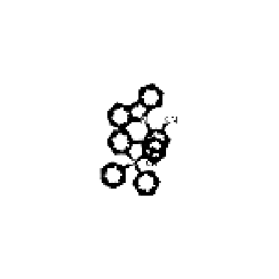 N#Cc1ccc(C#N)c(-n2c3ccccc3c3ccccc32)c1-c1ccccc1[Si](c1ccccc1)(c1ccccc1)c1ccccc1